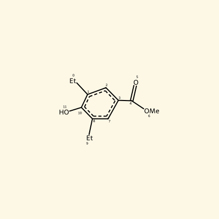 CCc1cc(C(=O)OC)cc(CC)c1O